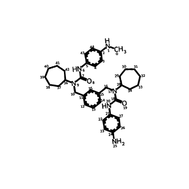 CNc1ccc(NC(=O)N(Cc2cccc(CN(C(=O)Nc3ccc(N)cc3)C3CCCCCC3)c2)C2CCCCCC2)cc1